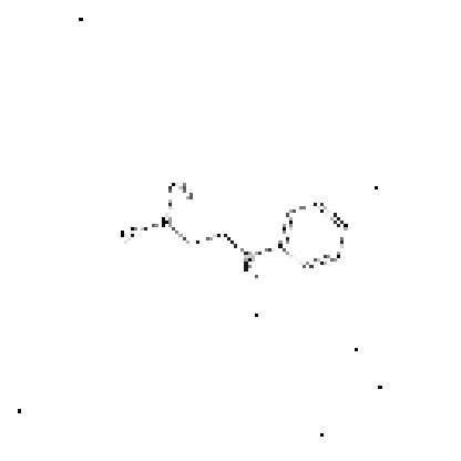 CN(C)CC[SiH2]c1ccccc1